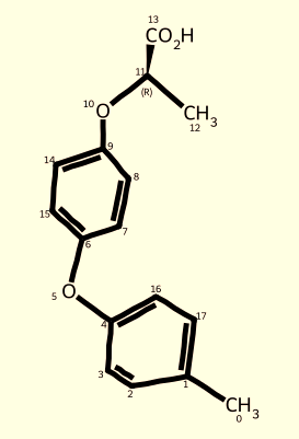 Cc1ccc(Oc2ccc(O[C@H](C)C(=O)O)cc2)cc1